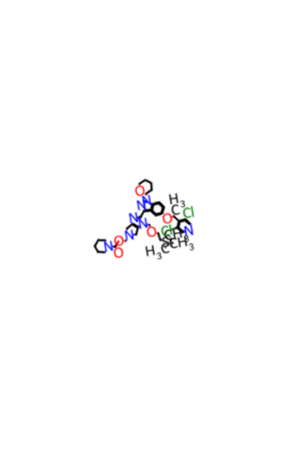 CC(Oc1ccc2c(c1)c(-c1nc3c(n1COCC[Si](C)(C)C)CN(COC(=O)N1CCCCC1)C3)nn2C1CCCCO1)c1c(Cl)cncc1Cl